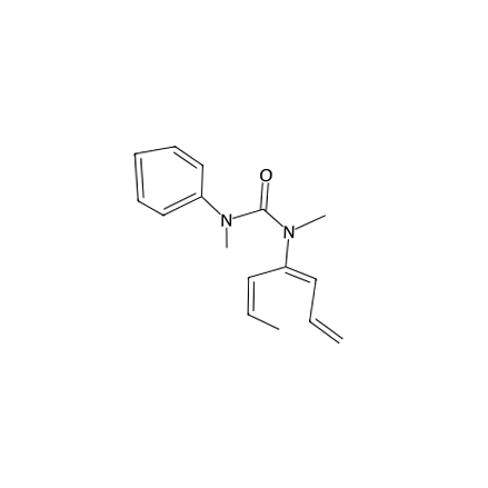 C=C/C=C(\C=C/C)N(C)C(=O)N(C)c1ccccc1